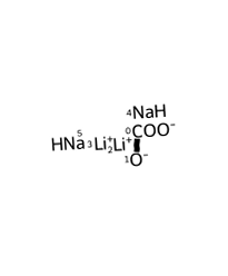 O=C([O-])[O-].[Li+].[Li+].[NaH].[NaH]